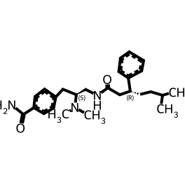 CC(C)CC[C@H](CC(=O)NC[C@H](Cc1ccc(C(N)=O)cc1)N(C)C)c1ccccc1